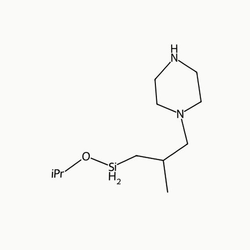 CC(C[SiH2]OC(C)C)CN1CCNCC1